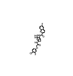 O=C(COc1ccc(Cl)c(F)c1)NC12CC(=C(NC(=O)c3ccc4cc(F)ccc4n3)[C@@H](O)C1)C2